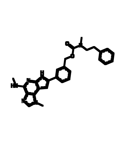 CNc1nc2[nH]c(-c3cccc(COC(=O)N(C)CCc4ccccc4)c3)cc2c2c1ncn2C